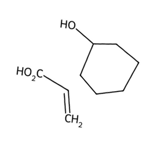 C=CC(=O)O.OC1CCCCC1